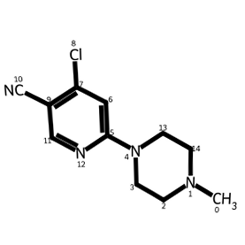 CN1CCN(c2cc(Cl)c(C#N)cn2)CC1